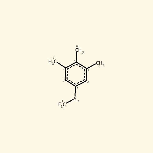 Cc1cc(SC(F)(F)F)cc(C)c1C